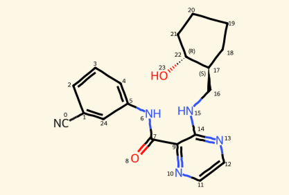 N#Cc1cccc(NC(=O)c2nccnc2NC[C@@H]2CCCC[C@H]2O)c1